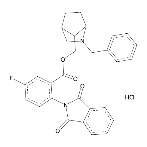 Cl.O=C(OCC1C2CCC1N(Cc1ccccc1)C2)c1cc(F)ccc1N1C(=O)c2ccccc2C1=O